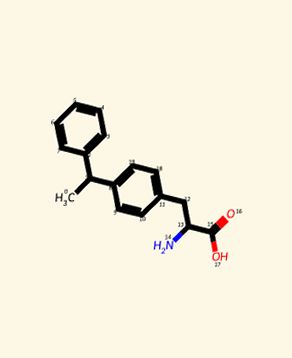 CC(c1ccccc1)c1ccc(CC(N)C(=O)O)cc1